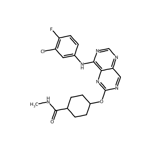 CNC(=O)C1CCC(Oc2ncc3ncnc(Nc4ccc(F)c(Cl)c4)c3n2)CC1